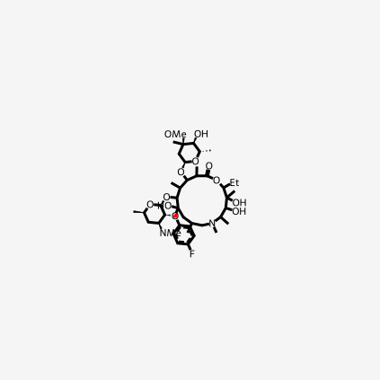 CCC1OC(=O)C(C)C(O[C@H]2C[C@@](C)(OC)[C@@H](O)[C@H](C)O2)C(C)C(O[C@@H]2O[C@H](C)C[C@H](NC)[C@H]2Oc2ccc(F)cc2)C(C)(O)CC(C)CN(C)C(C)C(O)C1(C)O